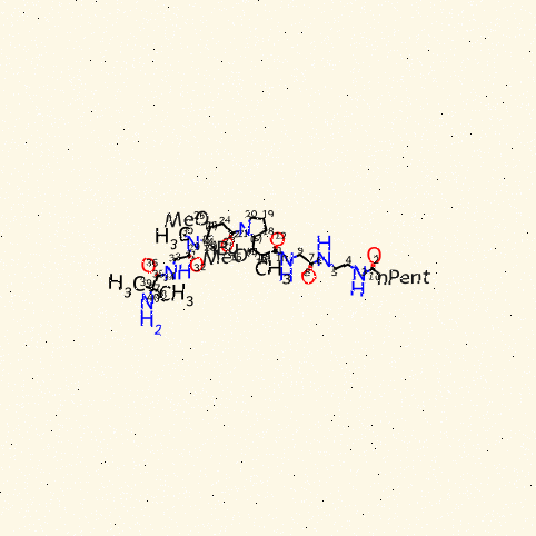 CCCCCC(=O)NCCNC(=O)CNC(=O)[C@H](C)[C@@H](OC)[C@@H]1CCCN1C(=O)C[C@@H](OC)[C@H]([C@@H](C)CC)N(C)C(=O)CNC(=O)C(C)(C)N